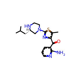 Cc1sc(N2CCN[C@@H](CC(C)C)C2)nc1C(=O)c1cccnc1N